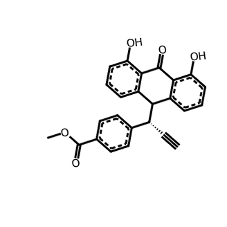 C#C[C@H](c1ccc(C(=O)OC)cc1)C1c2cccc(O)c2C(=O)c2c(O)cccc21